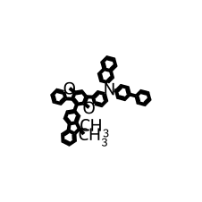 CC1(C)c2ccccc2-c2ccc(-c3c4oc5ccc(N(c6ccc(-c7ccccc7)cc6)c6ccc7ccccc7c6)cc5c4cc4oc5ccccc5c34)cc21